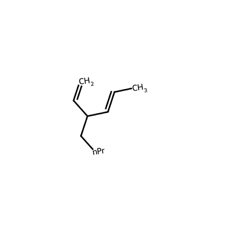 C=CC(C=CC)CCCC